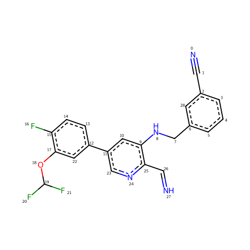 N#Cc1cccc(CNc2cc(-c3ccc(F)c(OC(F)F)c3)cnc2C=N)c1